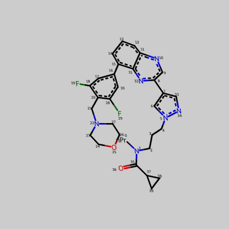 CCCN(CCCn1cc(-c2cnc3cccc(-c4cc(F)c(CN5CCOCC5)c(F)c4)c3n2)cn1)C(=O)C1CC1